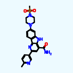 Cc1ccc(-c2cc(C(N)=O)c3[nH]c4cc(N5CCN(S(C)(=O)=O)CC5)ccc4c3n2)cn1